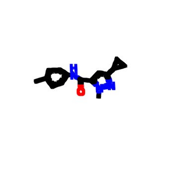 Cc1ccc(NC(=O)c2cc(C3CC3)nn2C)cc1